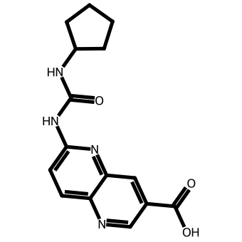 O=C(Nc1ccc2ncc(C(=O)O)cc2n1)NC1CCCC1